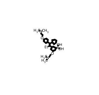 CC/C(=C(/c1ccccc1)c1ccc(OCCN(C)C)cc1)c1cc(OCCN(C)C)cc(B(O)O)c1